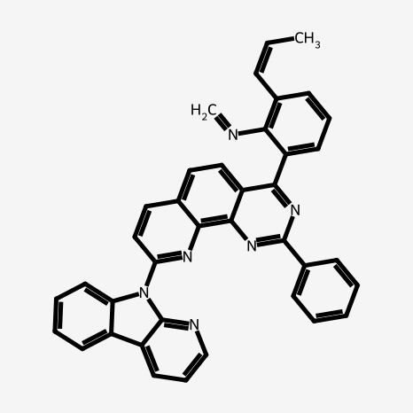 C=Nc1c(/C=C\C)cccc1-c1nc(-c2ccccc2)nc2c1ccc1ccc(-n3c4ccccc4c4cccnc43)nc12